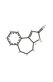 O=C1C=C2c3ccccc3CCCC2O1